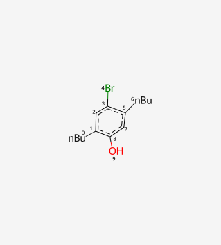 CCCCc1cc(Br)c(CCCC)cc1O